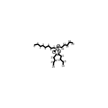 CCCCCCC[CH2][Ti]([O]CCCCC)([O]CCCCC)[O]CCCCC